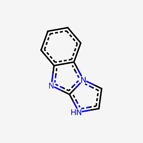 c1ccc2c(c1)nc1[nH]ccn12